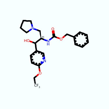 O=C(N[C@H](CN1CCCC1)C(O)c1ccc(OCC(F)(F)F)nc1)OCc1ccccc1